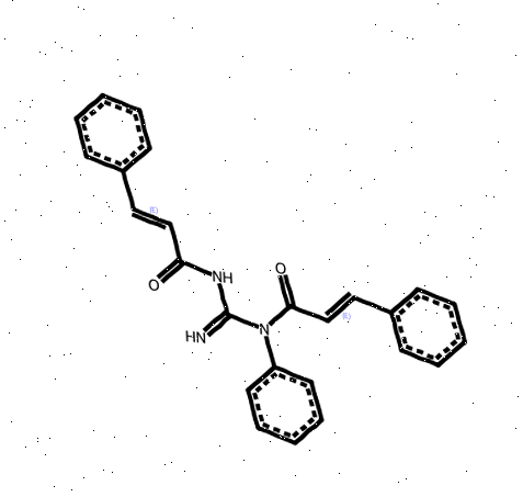 N=C(NC(=O)/C=C/c1ccccc1)N(C(=O)/C=C/c1ccccc1)c1ccccc1